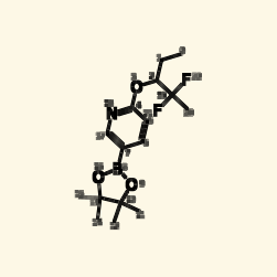 CCC(Oc1ccc(B2OC(C)(C)C(C)(C)O2)cn1)C(C)(F)F